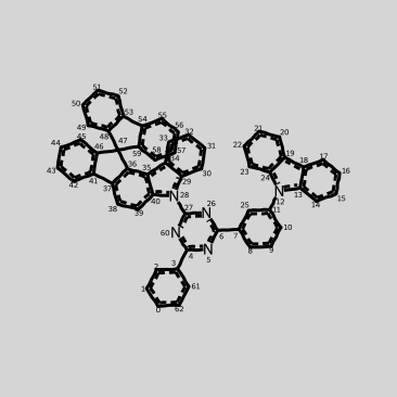 c1ccc(-c2nc(-c3cccc(-n4c5ccccc5c5ccccc54)c3)nc(-n3c4ccccc4c4c5c(ccc43)-c3ccccc3C53c4ccccc4-c4ccccc43)n2)cc1